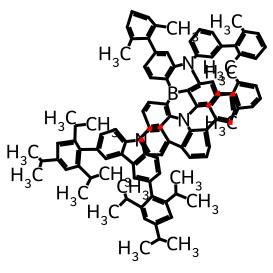 Cc1cccc(C)c1-c1cccc(N2c3cc(-c4c(C)cccc4C)ccc3B3c4ccc(-n5c6ccc(-c7c(C(C)C)cc(C(C)C)cc7C(C)C)cc6c6cc(-c7c(C(C)C)cc(C(C)C)cc7C(C)C)ccc65)cc4N(c4c(-c5ccccc5)cccc4-c4ccccc4)c4cc(-c5c(C)cccc5C)cc2c43)c1